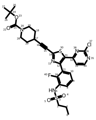 CCCS(=O)(=O)Nc1cccc(-c2nc(C#CC3CCN(C(=O)OC(C)(C)C)CC3)sc2-c2ccnc(Cl)n2)c1F